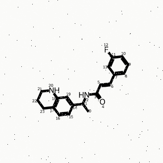 CC(NC(=O)C=Cc1cccc(F)c1)c1ccc2c(c1)NCCC2